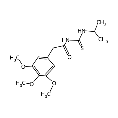 COc1cc(CC(=O)NC(=S)NC(C)C)cc(OC)c1OC